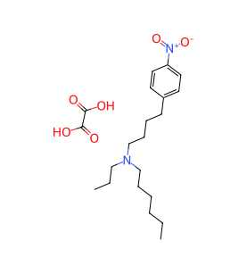 CCCCCCN(CCC)CCCCc1ccc([N+](=O)[O-])cc1.O=C(O)C(=O)O